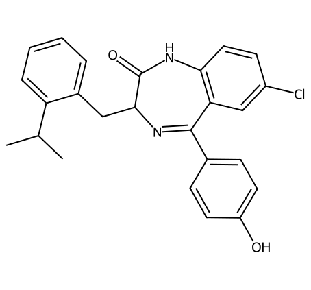 CC(C)c1ccccc1CC1N=C(c2ccc(O)cc2)c2cc(Cl)ccc2NC1=O